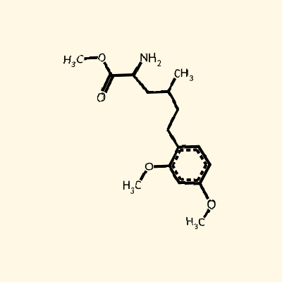 COC(=O)C(N)CC(C)CCc1ccc(OC)cc1OC